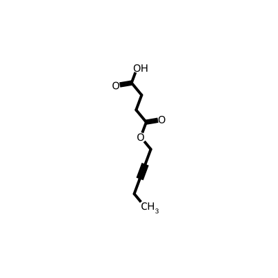 CCC#CCOC(=O)CCC(=O)O